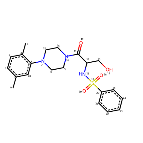 Cc1ccc(C)c(N2CCN(C(=O)C(CO)NS(=O)(=O)c3ccccc3)CC2)c1